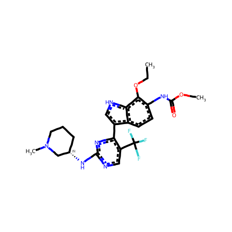 CCOc1c(NC(=O)OC)ccc2c(-c3nc(N[C@H]4CCCN(C)C4)ncc3C(F)(F)F)c[nH]c12